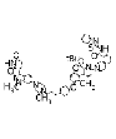 Cc1c(OC2CCC(CCCN3CCN(c4ccc5c(C6CCC(=O)NC6=O)nn(C)c5c4)C[C@H]3C)CC2)cccc1-c1ccc(N2CCc3cccc(C(=O)Nc4nc5ccccc5s4)c3C2)nc1C(=O)OC(C)(C)C